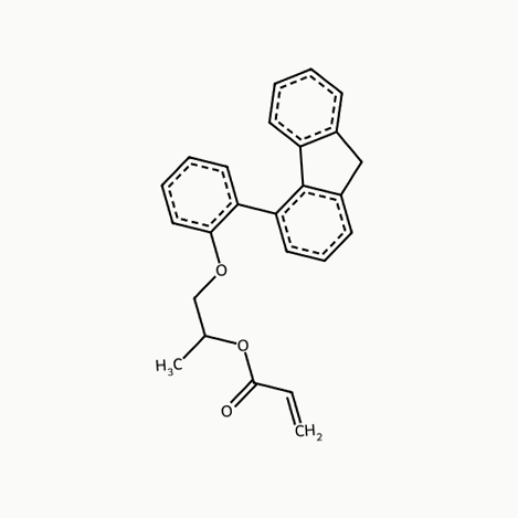 C=CC(=O)OC(C)COc1ccccc1-c1cccc2c1-c1ccccc1C2